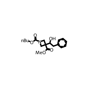 CCCCOC(=O)N1CC(C(=O)OC)(C(O)Cc2ccccc2)C1